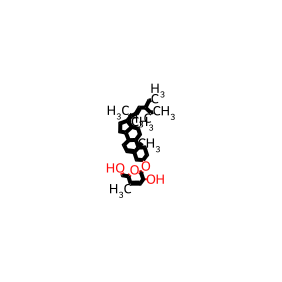 CCC(/C=C/C(C)C1CCC2C3CC=C4CC(OC5OC(CO)C(C)=C[C@@H]5O)CCC4(C)C3CCC12C)C(C)C